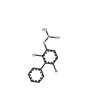 OB(O)Oc1ccc(Br)c(-c2ccccc2)c1Cl